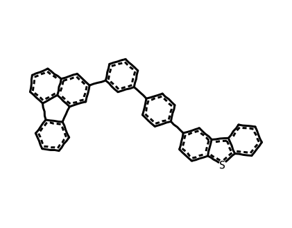 c1cc(-c2ccc(-c3ccc4sc5ccccc5c4c3)cc2)cc(-c2cc3c4c(cccc4c2)-c2ccccc2-3)c1